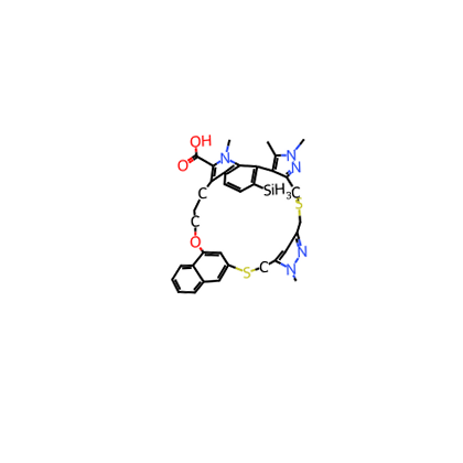 Cc1c2c(nn1C)CSCc1cc(n(C)n1)CSc1cc(c3ccccc3c1)OCCCc1c(C(=O)O)n(C)c3c-2c([SiH3])ccc13